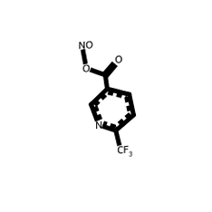 O=NOC(=O)c1ccc(C(F)(F)F)nc1